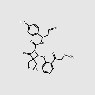 C=CC[C@@H](NC(=O)N1C(=O)C(CC)(CC)[C@@H]1Oc1ccccc1C(=O)COC)c1ccc(C)cc1